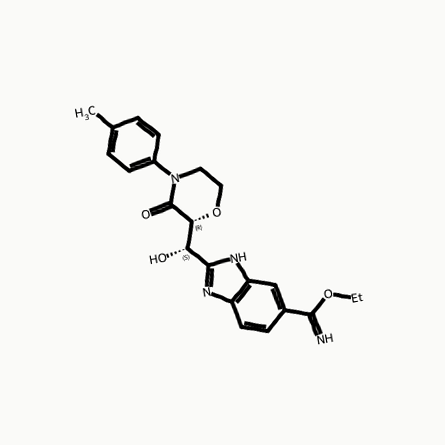 CCOC(=N)c1ccc2nc([C@H](O)[C@H]3OCCN(c4ccc(C)cc4)C3=O)[nH]c2c1